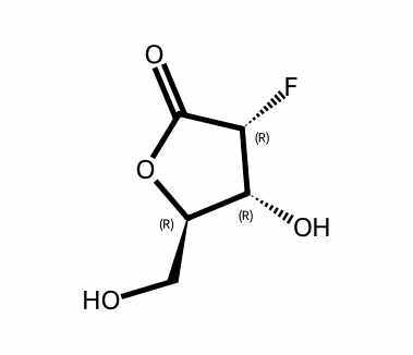 O=C1O[C@H](CO)[C@@H](O)[C@H]1F